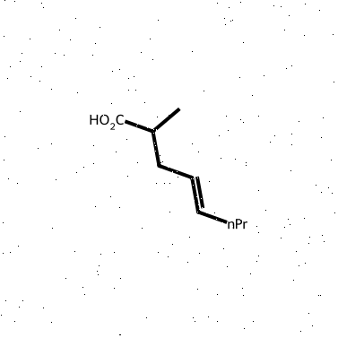 CCCC=CCC(C)C(=O)O